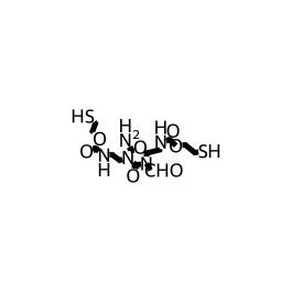 NC(=O)N(CCNC(=O)OCCS)C(=O)N(C=O)CCNC(=O)OCCS